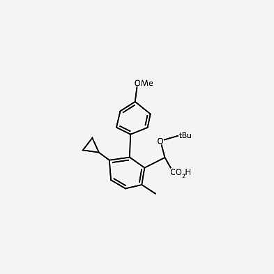 COc1ccc(-c2c(C3CC3)ccc(C)c2C(OC(C)(C)C)C(=O)O)cc1